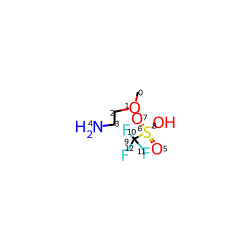 COCCN.O=S(=O)(O)C(F)(F)F